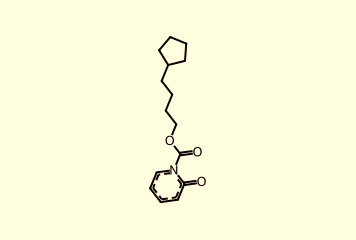 O=C(OCCCCC1CCCC1)n1ccccc1=O